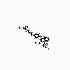 CCC(=O)N1c2ccccc2[C@H](Nc2ccc(OCCCOC(N)=O)cc2)C[C@@H]1C